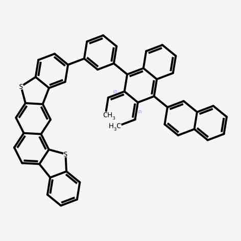 C/C=c1/c(-c2cccc(-c3ccc4sc5cc6ccc7c8ccccc8sc7c6cc5c4c3)c2)c2ccccc2c(-c2ccc3ccccc3c2)/c1=C/C